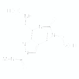 CNC(=O)n1cc2c(n1)C(CNC(=O)O)N1CC2N(OS(=O)(=O)O)C1=O